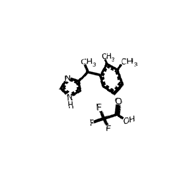 Cc1cccc(C(C)c2c[nH]cn2)c1C.O=C(O)C(F)(F)F